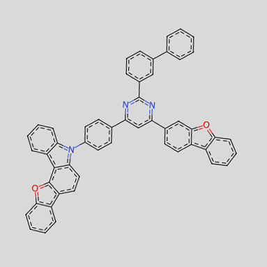 c1ccc(-c2cccc(-c3nc(-c4ccc(-n5c6ccccc6c6c7oc8ccccc8c7ccc65)cc4)cc(-c4ccc5c(c4)oc4ccccc45)n3)c2)cc1